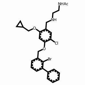 CC(=O)NCCNCc1cc(Cl)c(OCc2cccc(-c3ccccc3)c2Br)cc1OCC1CC1